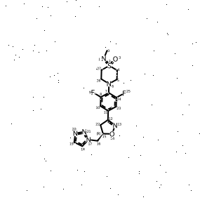 CN=S1(=O)CCN(c2c(F)cc(C3=NO[C@@H](Cn4ccnn4)C3)cc2F)CC1